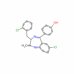 C=C1Nc2ccc(Cl)cc2C(c2ccc(O)cc2)=NC1Cc1ccccc1Cl